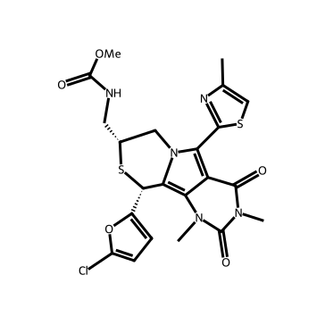 COC(=O)NC[C@@H]1Cn2c(-c3nc(C)cs3)c3c(=O)n(C)c(=O)n(C)c3c2[C@H](c2ccc(Cl)o2)S1